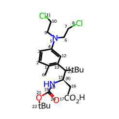 Cc1ccc(N(CCCl)CCCl)cc1C([C@@H](CC(=O)O)NC(=O)OC(C)(C)C)C(C)(C)C